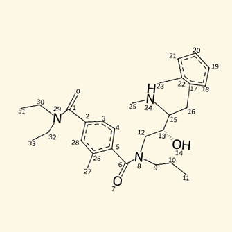 C=C(c1ccc(C(=O)N(CCC)C[C@@H](O)C(Cc2ccccc2C)NC)c(C)c1)N(CC)CC